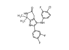 CC1(C)NC(=O)Cn2c1nc(-c1ccc(F)c(F)c1)c2Nc1ccc(Cl)c(F)c1